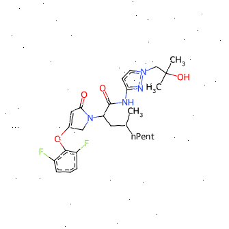 CCCCCC(C)CC(C(=O)Nc1ccn(CC(C)(C)O)n1)N1CC(Oc2c(F)cccc2F)=CC1=O